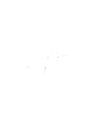 Cc1ccccc1OC(=S)Nc1cccc(B(O)O)c1Cl